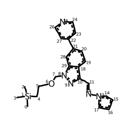 C[Si](C)(C)CCOCn1nc(C=Nn2cccc2)c2ccc(-c3ccncc3)cc21